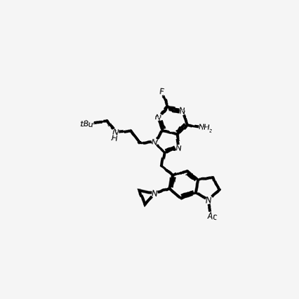 CC(=O)N1CCc2cc(Cc3nc4c(N)nc(F)nc4n3CCNCC(C)(C)C)c(N3CC3)cc21